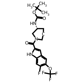 CC(C)(C)OC(=O)N[C@@H]1CCCN(C(=O)c2cc3cc(OC(F)(F)F)c(F)cc3[nH]2)C1